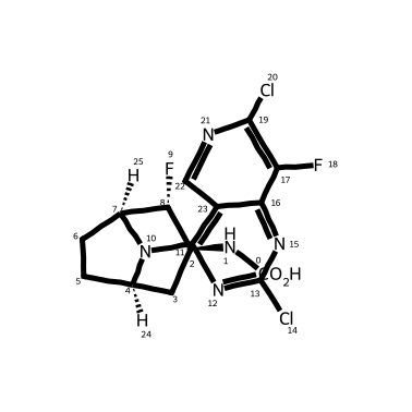 O=C(O)N[C@H]1C[C@H]2CC[C@@H]([C@@H]1F)N2c1nc(Cl)nc2c(F)c(Cl)ncc12